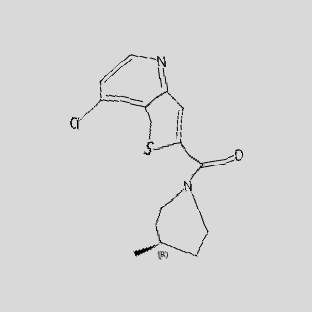 C[C@@H]1CCN(C(=O)c2cc3nccc(Cl)c3s2)C1